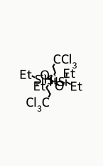 CC[SiH](CC)O[Si](CCC(Cl)(Cl)Cl)(CCC(Cl)(Cl)Cl)O[SiH](CC)CC